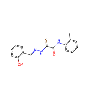 Cc1ccccc1NC(=O)C(=S)N/N=C/c1ccccc1O